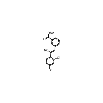 COC(=O)c1cccc(/C=C(\C#N)c2ccc(Br)cc2Cl)c1